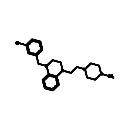 CN1CCN(CCN2CCN(Cc3cccc(Cl)c3)c3ccccc32)CC1